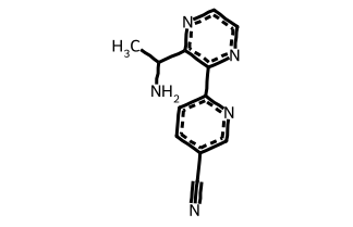 CC(N)c1nccnc1-c1ccc(C#N)cn1